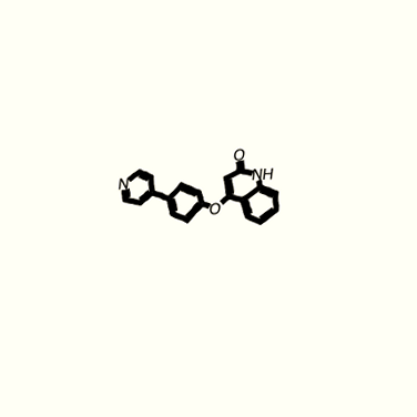 O=c1cc(Oc2ccc(-c3ccncc3)cc2)c2ccccc2[nH]1